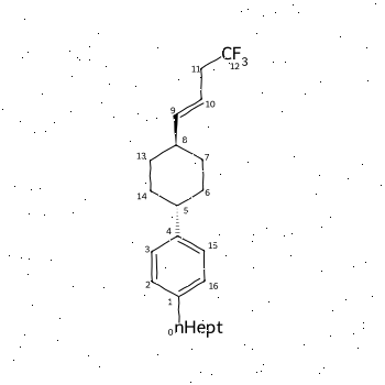 CCCCCCCc1ccc([C@H]2CC[C@H](/C=C/CC(F)(F)F)CC2)cc1